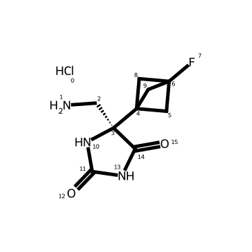 Cl.NC[C@@]1(C23CC(F)(C2)C3)NC(=O)NC1=O